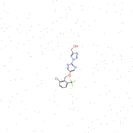 OCc1cn(-c2ncc(OCc3c(Cl)cccc3C(F)(F)F)cn2)cn1